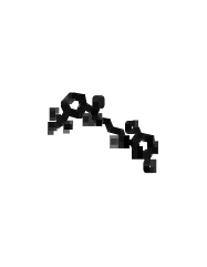 O=C(NCCCNc1nc(Cl)ncc1Cl)c1cccc(C(F)(F)F)c1